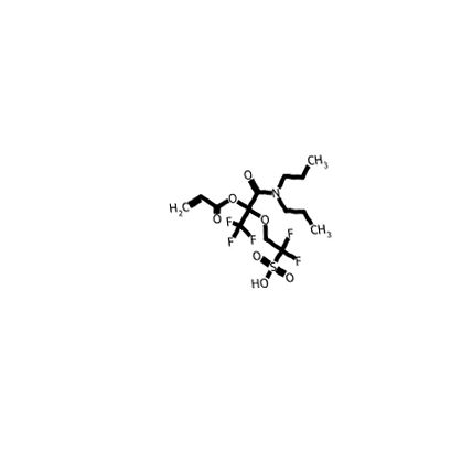 C=CC(=O)OC(OCC(F)(F)S(=O)(=O)O)(C(=O)N(CCC)CCC)C(F)(F)F